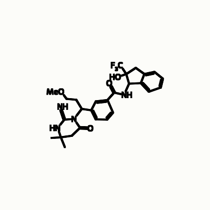 COCCC(c1cccc(C(=O)NC2c3ccccc3CC2(O)C(F)(F)F)c1)N1C(=N)NC(C)(C)CC1=O